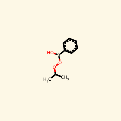 CC(C)OOB(O)c1ccccc1